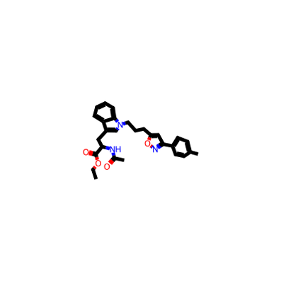 CCOC(=O)C(Cc1cn(CCCc2cc(-c3ccc(C)cc3)no2)c2ccccc12)NC(C)=O